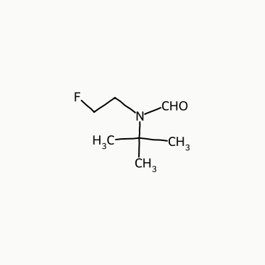 CC(C)(C)N(C=O)CCF